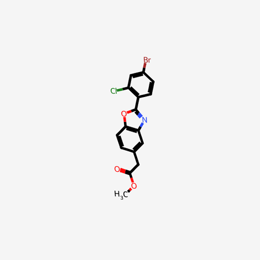 COC(=O)Cc1ccc2oc(-c3ccc(Br)cc3Cl)nc2c1